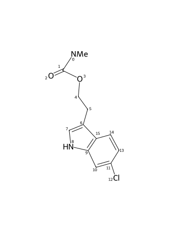 CNC(=O)OCCc1c[nH]c2cc(Cl)ccc12